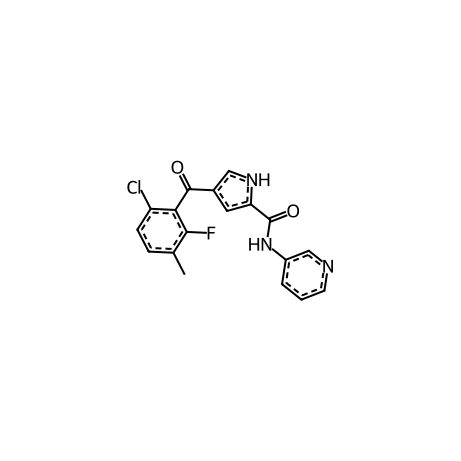 Cc1ccc(Cl)c(C(=O)c2c[nH]c(C(=O)Nc3cccnc3)c2)c1F